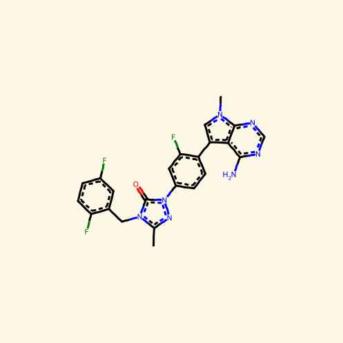 Cc1nn(-c2ccc(-c3cn(C)c4ncnc(N)c34)c(F)c2)c(=O)n1Cc1cc(F)ccc1F